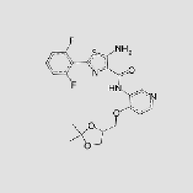 CC1(C)OCC(COc2ccncc2NC(=O)c2nc(-c3c(F)cccc3F)sc2N)O1